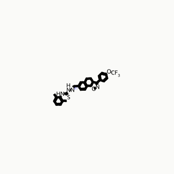 Cc1cccc(C)c1NC(=S)N/N=C/c1ccc2c(c1)CCC1C(c3ccc(OC(F)(F)F)cc3)=NOC21